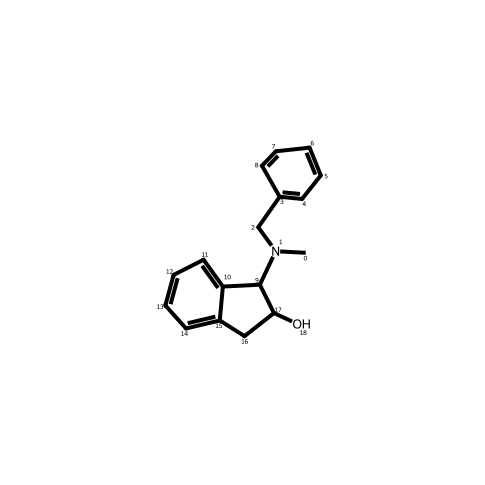 CN(Cc1ccccc1)C1c2ccccc2CC1O